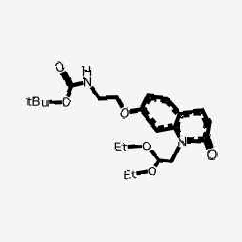 CCOC(Cn1c(=O)ccc2ccc(OCCNC(=O)OC(C)(C)C)cc21)OCC